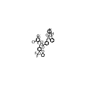 O=C(O[C@@H](Cc1c(Cl)c[n+]([O-])cc1Cl)c1ccc(OC(F)F)c(OC2CCCC2)c1)c1cccc(CN(C(=O)O[C@H]2CN3CCC2CC3)c2ccccc2F)c1